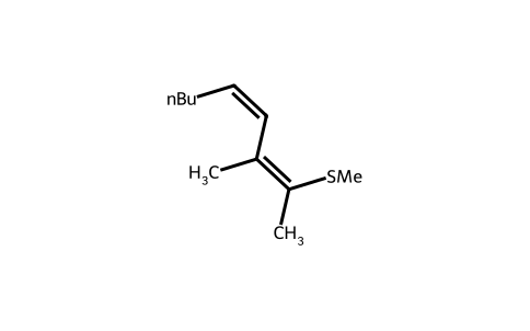 CCCC/C=C\C(C)=C(\C)SC